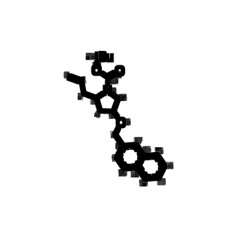 C=CCC1CC(OCc2ccc3ccccc3c2)CN1C(=O)OC(C)(C)C